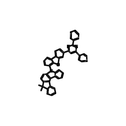 CC1(C)c2ccccc2-c2c1ccc1c2c2ccccc2n1-c1cccc2c1oc1cc(-c3cc(-c4ccccc4)nc(-c4ccccc4)n3)ccc12